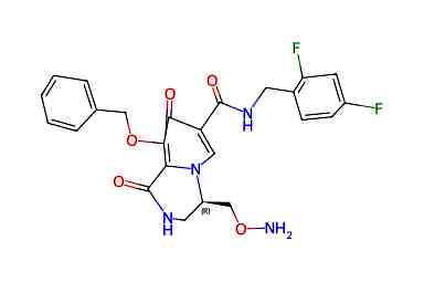 NOC[C@H]1CNC(=O)c2c(OCc3ccccc3)c(=O)c(C(=O)NCc3ccc(F)cc3F)cn21